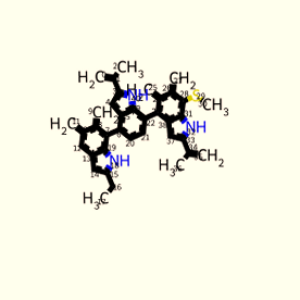 C=C(C)c1cc2c(-c3c(=C)c(=C)cc4cc(CC)[nH]c34)ccc(-c3c(=C)c(=C)c(SC)c4[nH]c(C(=C)C)cc34)c2[nH]1